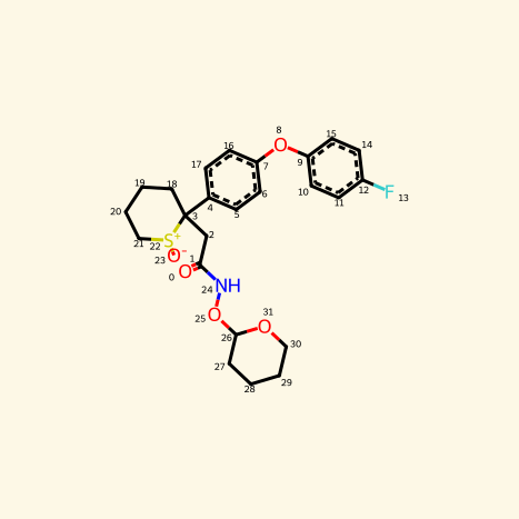 O=C(CC1(c2ccc(Oc3ccc(F)cc3)cc2)CCCC[S+]1[O-])NOC1CCCCO1